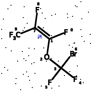 F/C(OC(F)(F)Br)=C(\F)C(F)(F)F